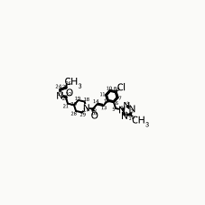 Cc1nnn(Cc2cc(Cl)ccc2C=CC(=O)N2CCC(Cc3ncc(C)o3)CC2)n1